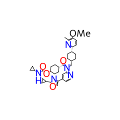 COc1ccc([C@H]2CC[C@H](CN(c3cc(-c4coc(C5CC5)n4)ccn3)C(=O)[C@H]3CC[C@H](OC(=O)NC4CC4)CC3)CC2)nc1C